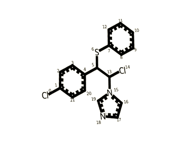 Clc1ccc(C(Sc2ccccc2)C(Cl)n2ccnc2)cc1